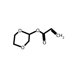 C=CC(=O)OC1COCCO1